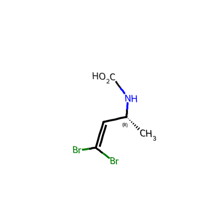 C[C@H](C=C(Br)Br)NC(=O)O